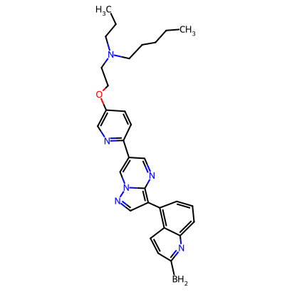 Bc1ccc2c(-c3cnn4cc(-c5ccc(OCCN(CCC)CCCCC)cn5)cnc34)cccc2n1